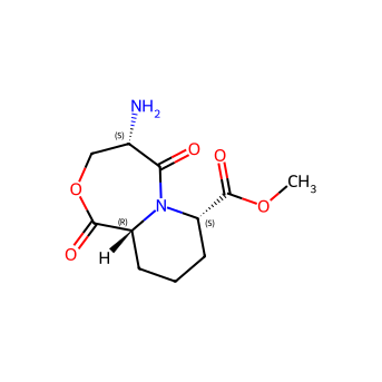 COC(=O)[C@@H]1CCC[C@@H]2C(=O)OC[C@H](N)C(=O)N21